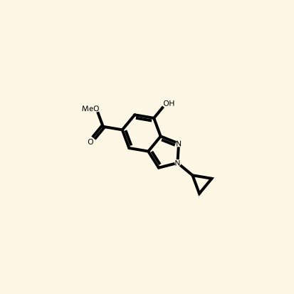 COC(=O)c1cc(O)c2nn(C3CC3)cc2c1